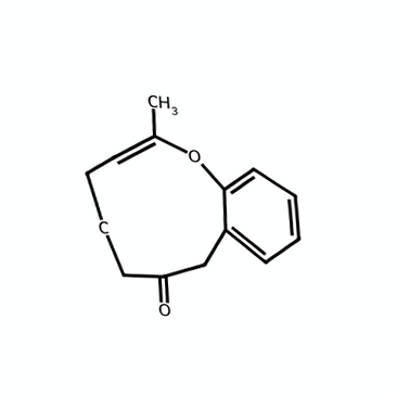 C/C1=C/CCCC(=O)Cc2ccccc2O1